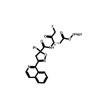 CCCCCCCOC(=O)C[C@H](NC(=O)C1(C(C)C)CC(c2nccc3ccccc23)=NO1)C(=O)CF